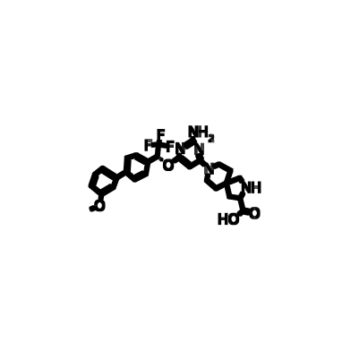 COc1cccc(-c2ccc([C@@H](Oc3cc(N4CCC5(CC4)CNC(C(=O)O)C5)nc(N)n3)C(F)(F)F)cc2)c1